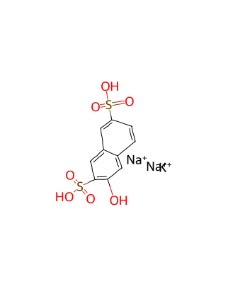 O=S(=O)(O)c1ccc2cc(O)c(S(=O)(=O)O)cc2c1.[K+].[Na+].[Na+]